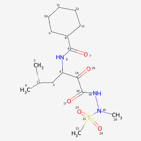 CC(C)CC(NC(=O)C1CCCCC1)C(=O)C(=O)NN(C)S(C)(=O)=O